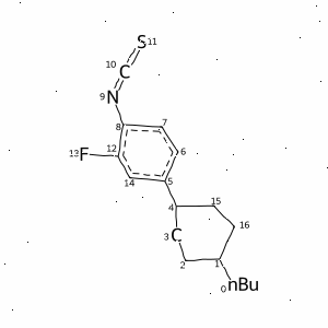 CCCCC1CCC(c2ccc(N=C=S)c(F)c2)CC1